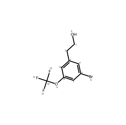 OCCc1cc(Br)cc(OC(F)(F)F)c1